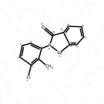 Cc1c(Cl)cccc1-n1[se]c2ccccc2c1=O